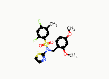 COc1ccc(CN(c2nccs2)S(=O)(=O)c2cc(C)c(F)cc2F)c(OC)c1